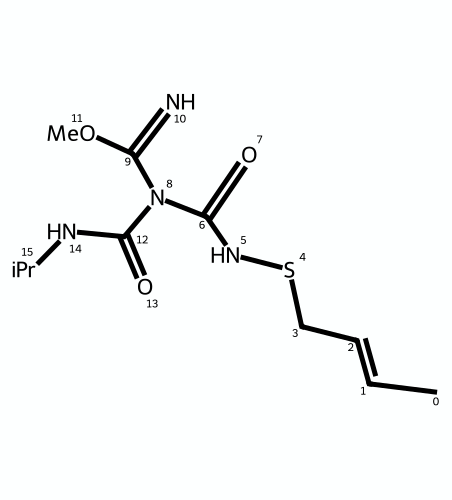 C/C=C/CSNC(=O)N(C(=N)OC)C(=O)NC(C)C